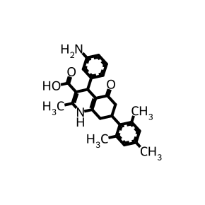 CC1=C(C(=O)O)C(c2cccc(N)c2)C2=C(CC(c3c(C)cc(C)cc3C)CC2=O)N1